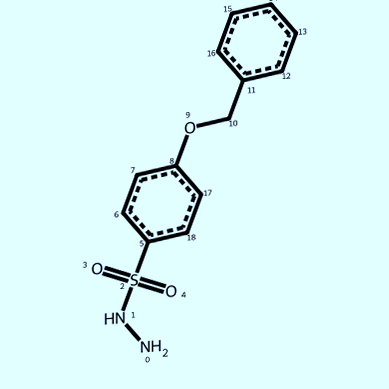 NNS(=O)(=O)c1ccc(OCc2ccccc2)cc1